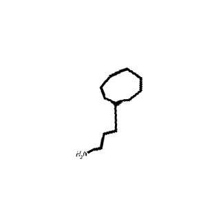 NCCCC1CCCCCCC1